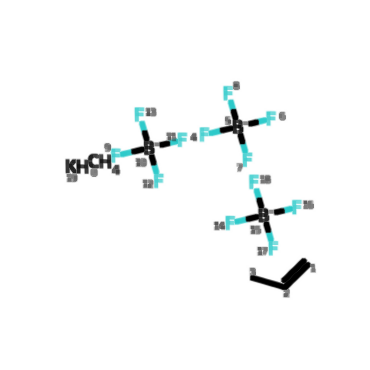 C.C=CC.F[B-](F)(F)F.F[B-](F)(F)F.F[B-](F)(F)F.[KH]